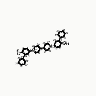 COc1ccc(-[n+]2ccc(-c3cc[n+](-c4ccc(O)c(-c5ccccc5)c4)cc3)cc2)cc1-c1ccccc1